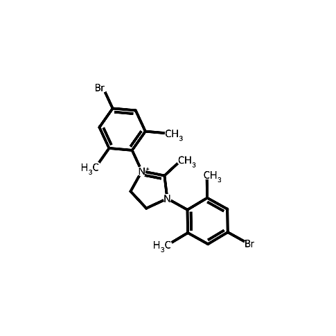 CC1=[N+](c2c(C)cc(Br)cc2C)CCN1c1c(C)cc(Br)cc1C